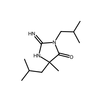 CC(C)CN1C(=N)NC(C)(CC(C)C)C1=O